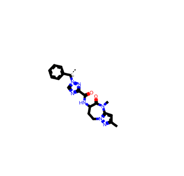 Cc1cc2n(n1)CCC(NC(=O)c1ncn([C@@H](C)c3ccccc3)n1)C(=O)N2C